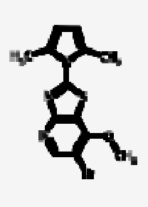 COc1c(Br)cnc2nc(-n3c(C)ccc3C)sc12